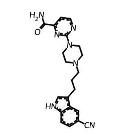 N#Cc1ccc2[nH]cc(CCCN3CCN(c4nccc(C(N)=O)n4)CC3)c2c1